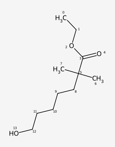 CCOC(=O)C(C)(C)CCCCCO